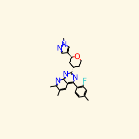 Cc1ccc(-c2nc([C@H]3CCO[C@H](c4cnn(C)c4)C3)nc3nc(C)c(C)cc23)c(F)c1